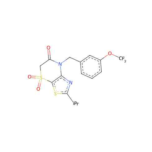 CC(C)c1nc2c(s1)S(=O)(=O)CC(=O)N2Cc1cccc(OC(F)(F)F)c1